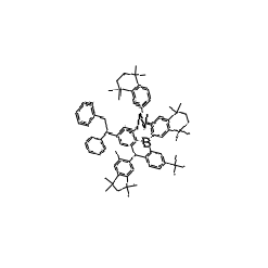 Cc1cc2c(cc1C1c3ccc(C(C)(C)C)cc3B3c4cc5c(cc4N(c4ccc6c(c4)C(C)(C)CCC6(C)C)c4cc(C(Cc6ccccc6)c6ccccc6)cc1c43)C(C)(C)CCC5(C)C)C(C)(C)CC2(C)C